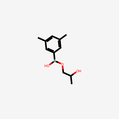 Cc1cc(C)cc(B(O)OCC(C)O)c1